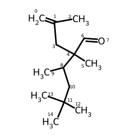 C=C(C)CC(C)(C=O)C(C)CC(C)(C)C